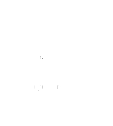 Nc1c(Br)cc(OCc2ccccc2)c2ncccc12